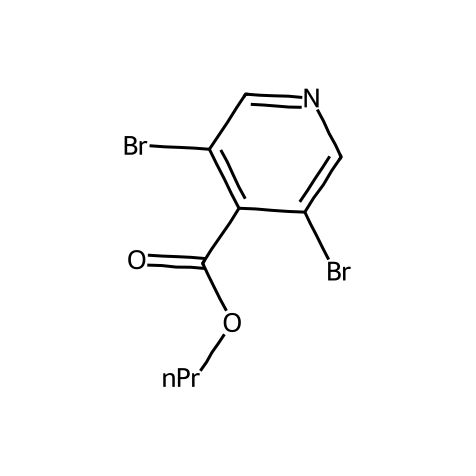 CCCOC(=O)c1c(Br)cncc1Br